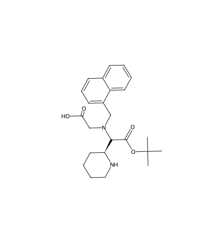 CC(C)(C)OC(=O)C([C@@H]1CCCCN1)N(CC(=O)O)Cc1cccc2ccccc12